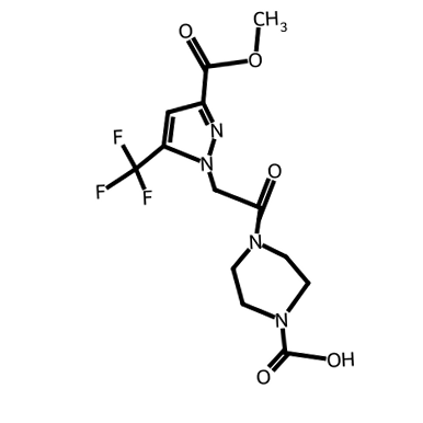 COC(=O)c1cc(C(F)(F)F)n(CC(=O)N2CCN(C(=O)O)CC2)n1